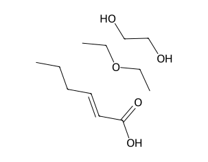 CCCC=CC(=O)O.CCOCC.OCCO